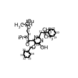 CC(C)N(CCO[SiH](C)C(C)(C)C)C(=O)c1nc(CC(C)(C)c2ccccc2)nc(O)c1OCc1ccccc1